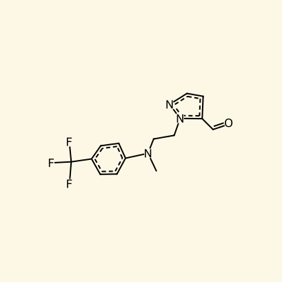 CN(CCn1nccc1C=O)c1ccc(C(F)(F)F)cc1